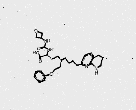 O=C(NC1COC1)N[C@@H](CCN(CCCCc1ccc2c(n1)NCCC2)CCOc1ccccc1)C(=O)O